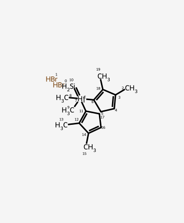 Br.Br.CC1=CC[C]([Hf]([CH3])([CH3])(=[SiH2])[C]2=C(C)C(C)=CC2)=C1C